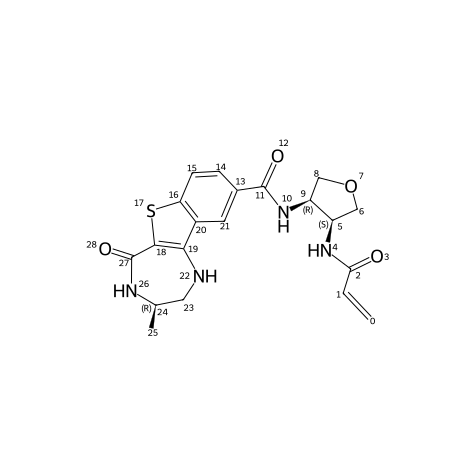 C=CC(=O)N[C@@H]1COC[C@@H]1NC(=O)c1ccc2sc3c(c2c1)NC[C@@H](C)NC3=O